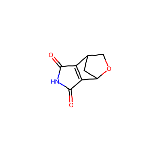 O=C1NC(=O)C2=C1C1COC2C1